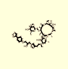 CC[C@H]1OC(=O)[C@H](C)[C@@H](OC[C@H]2C[C@@](C)(OC)[C@@H](O)[C@H](C)O2)[C@H](C)[C@@H](O[C@@H]2O[C@H](C)C[C@H](N(C)CCc3cn(CC(O)COc4ccc(-c5csnn5)cc4)nn3)[C@H]2O)[C@](C)(O)C[C@@H](C)CN(C)[C@H](C)[C@@H](O)[C@]1(C)O